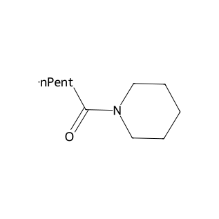 CCCC[CH]C(=O)N1CCCCC1